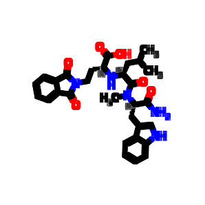 CC(C)C[C@H](N[C@H](CCN1C(=O)c2ccccc2C1=O)C(=O)O)C(=O)N(C)[C@@H](Cc1c[nH]c2ccccc12)C(N)=O